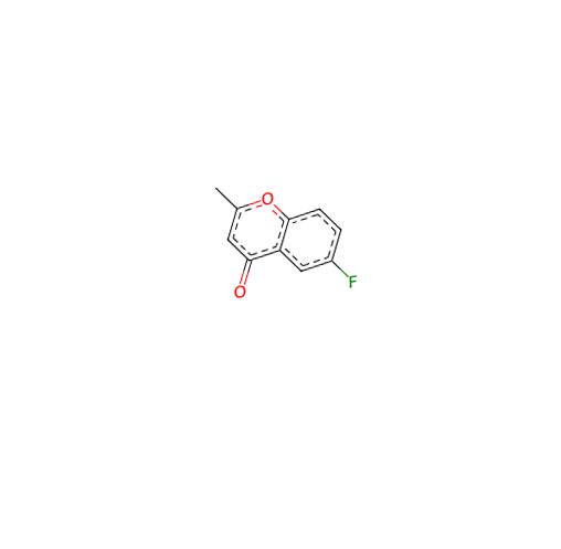 Cc1cc(=O)c2cc(F)ccc2o1